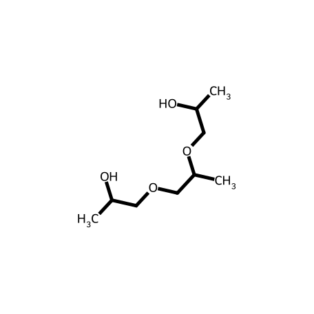 CC(O)COCC(C)OCC(C)O